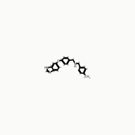 Cc1ccc(CNCc2ccc(Oc3ccc4nc[nH]c4c3)cc2)cc1